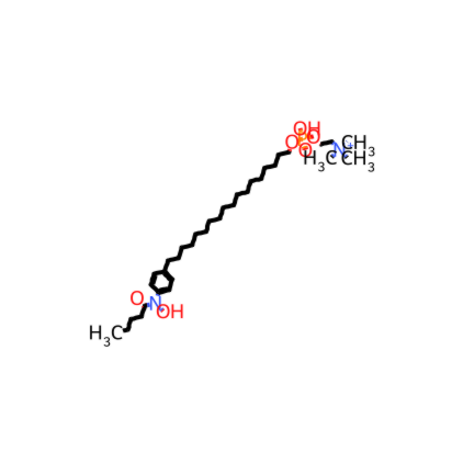 CCCCC(=O)N(O)c1ccc(CCCCCCCCCCCCCCCCCCOP(=O)(O)OCC[N+](C)(C)C)cc1